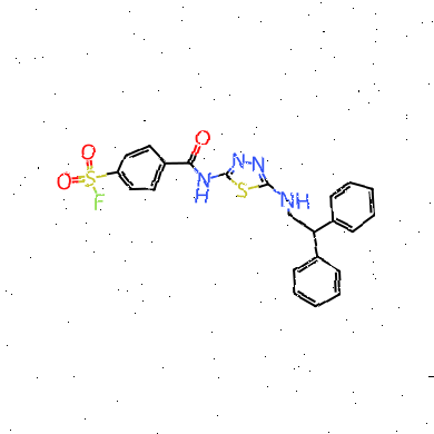 O=C(Nc1nnc(NCC(c2ccccc2)c2ccccc2)s1)c1ccc(S(=O)(=O)F)cc1